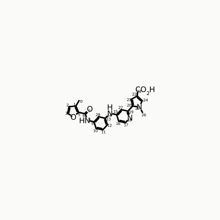 Cc1ccoc1C(=O)Nc1cccc(Nc2ccnc(-c3cc(C(=O)O)cn3C)c2)c1